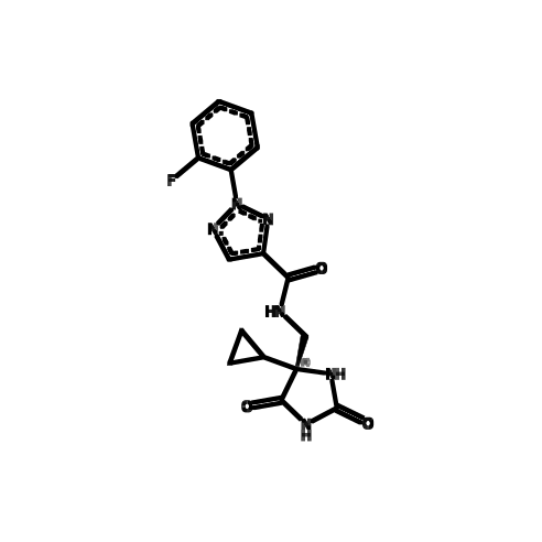 O=C1NC(=O)[C@](CNC(=O)c2cnn(-c3ccccc3F)n2)(C2CC2)N1